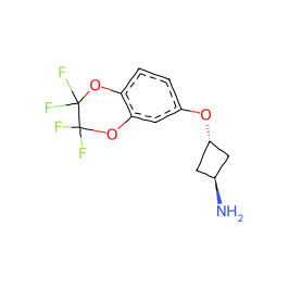 N[C@H]1C[C@H](Oc2ccc3c(c2)OC(F)(F)C(F)(F)O3)C1